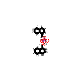 [O]P(=O)(OCc1cccc2ccccc12)OCc1cccc2ccccc12